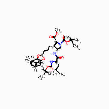 COC(=O)[C@@H]1[C@H](CCCB2OC3C[C@H]4C[C@H](C4(C)C)[C@@]3(C)O2)[C@@H](NC(=O)[C@H](CC(C)C)NC(=O)OC(C)(C)C)CN1C(=O)OC(C)(C)C